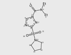 CCN(CC)C(=O)n1cnc(S(=O)(=O)N2CCCC2)n1